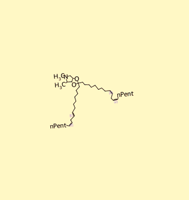 CCCCC/C=C\C/C=C\CCCCCCCCC1(CCCCCCC/C=C/C/C=C\CCCCC)OC2CN(C)C(C)C2O1